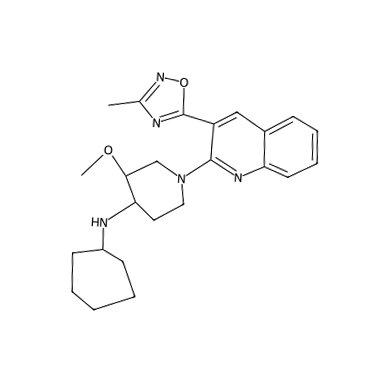 COC1CN(c2nc3ccccc3cc2-c2nc(C)no2)CCC1NC1CCCCC1